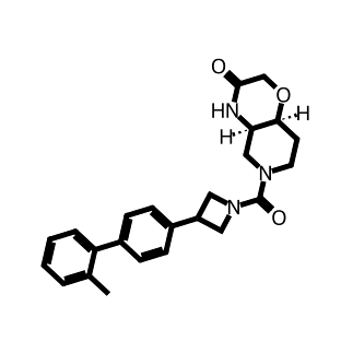 Cc1ccccc1-c1ccc(C2CN(C(=O)N3CC[C@@H]4OCC(=O)N[C@@H]4C3)C2)cc1